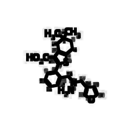 CC1(C)CCc2sc(-c3ccccc3CN(N)Cc3ccoc3)c(C(=O)O)c2C1